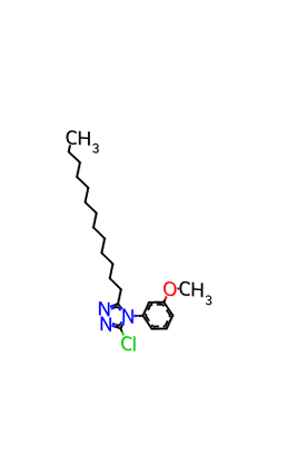 CCCCCCCCCCCCCc1nnc(Cl)n1-c1cccc(OC)c1